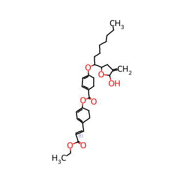 C=C1CC(C(CCCCCCC)OC2=CC=C(C(=O)OC3=CC=C(/C=C/C(=O)OCC)CC3)CC2)OC1O